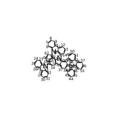 c1ccc(-n2c3ccccc3c3cccc(-n4c5ccc(-n6c7ccccc7c7ccccc76)cc5c5ccc([Si](c6ccccc6)(c6ccccc6)c6ccccc6)cc54)c32)cc1